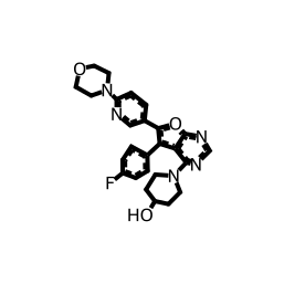 OC1CCN(c2ncnc3oc(-c4ccc(N5CCOCC5)nc4)c(-c4ccc(F)cc4)c23)CC1